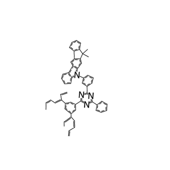 C=C/C=C\C(=C/C)c1cc(/C(C=C)=C/C=C\C)cc(-c2nc(-c3ccccc3)nc(-c3cccc(-n4c5ccccc5c5cc6c(cc54)C(C)(C)c4ccccc4-6)c3)n2)c1